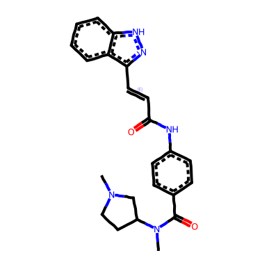 CN1CCC(N(C)C(=O)c2ccc(NC(=O)/C=C/c3n[nH]c4ccccc34)cc2)C1